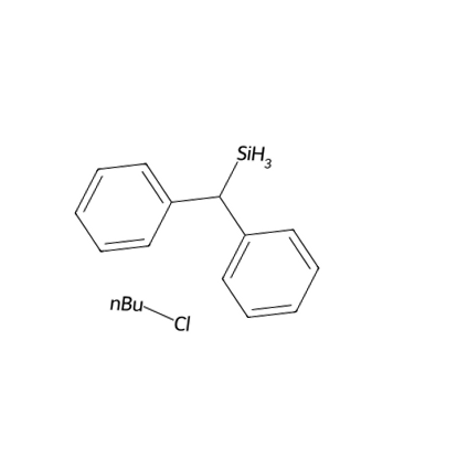 CCCCCl.[SiH3]C(c1ccccc1)c1ccccc1